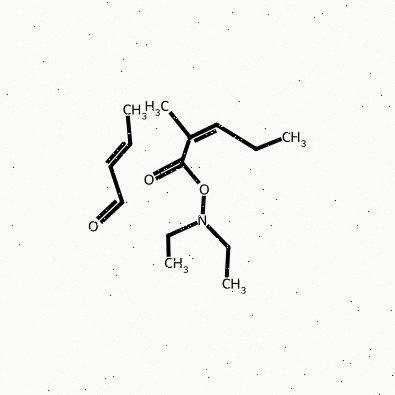 CC=C[C]=O.CCC=C(C)C(=O)ON(CC)CC